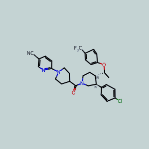 CC(Oc1ccc(C(F)(F)F)cc1)[C@H]1CCN(C(=O)C2CCN(c3ccc(C#N)cn3)CC2)C[C@@H]1c1ccc(Cl)cc1